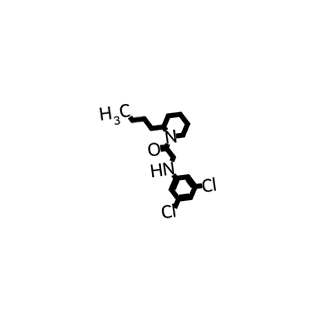 CCCCC1CCCCN1C(=O)CNc1cc(Cl)cc(Cl)c1